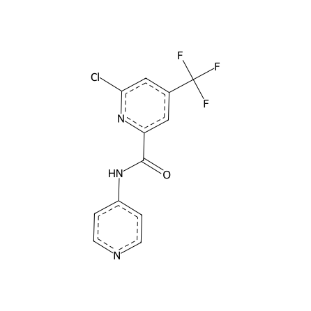 O=C(Nc1ccncc1)c1cc(C(F)(F)F)cc(Cl)n1